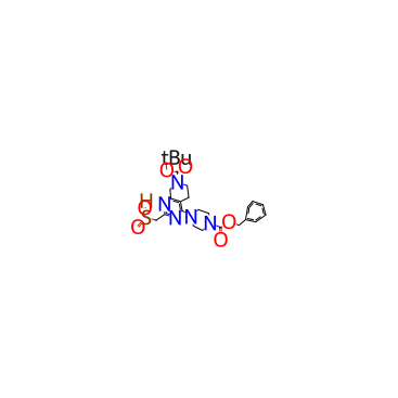 CC(C)(C)OC(=O)N1CCc2c(nc(C[SH](=O)=O)nc2N2CCN(C(=O)OCc3ccccc3)CC2)C1